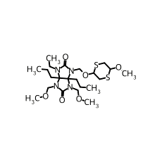 CCCC12N(CC)C(=O)N(COC3CSC(OC)CS3)C1(CCC)N(COC)C(=O)N2COC